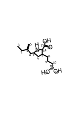 C=C(CC)CC1CC(CCCB(O)O)C(C(=O)O)N1